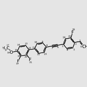 C=Cc1ccc(C#Cc2ccc(-c3ccc(OC)c(F)c3F)cc2)cc1F